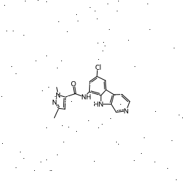 Cc1cc(C(=O)Nc2cc(Cl)cc3c2[nH]c2cnccc23)n(C)n1